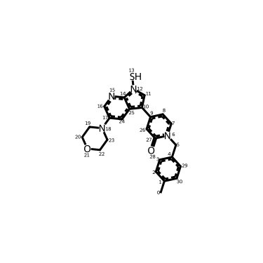 Cc1ccc(Cn2ccc(-c3cn(S)c4ncc(N5CCOCC5)cc34)cc2=O)cc1